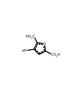 CCCc1cc(C(=O)O)oc1C(=O)O